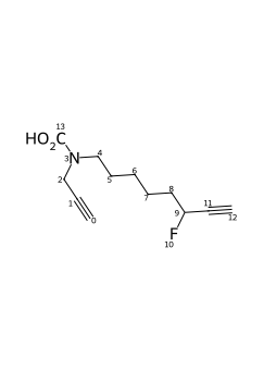 C#CCN(CCCCCC(F)C#C)C(=O)O